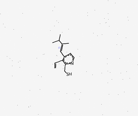 C=Cc1c(/C=C(\C)C(C)C)ccnc1CS